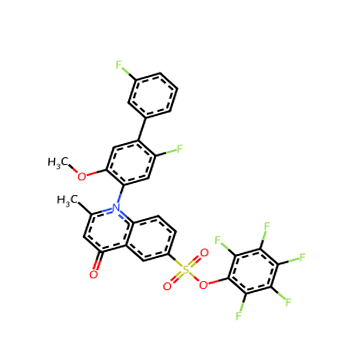 COc1cc(-c2cccc(F)c2)c(F)cc1-n1c(C)cc(=O)c2cc(S(=O)(=O)Oc3c(F)c(F)c(F)c(F)c3F)ccc21